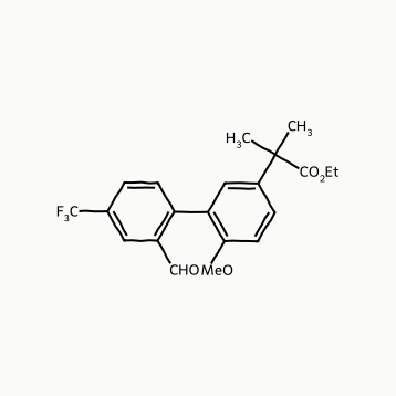 CCOC(=O)C(C)(C)c1ccc(OC)c(-c2ccc(C(F)(F)F)cc2C=O)c1